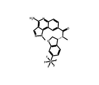 CN(C(=O)c1ccc2nc(N)c3cnn(C)c3c2c1)[C@H]1COc2cc(S(F)(F)(F)(F)F)ccc21